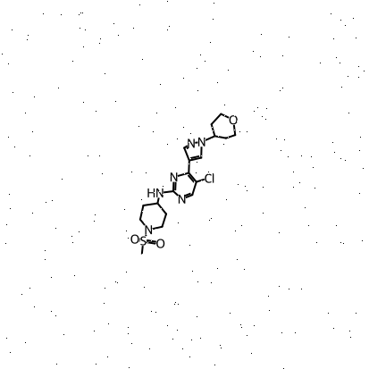 CS(=O)(=O)N1CCC(Nc2ncc(Cl)c(-c3cnn(C4CCOCC4)c3)n2)CC1